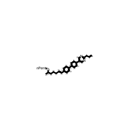 C=CCc1ncc(-c2ccc(-c3ccc(C=CCCCC(C)OCCCCC)cc3)cc2)cn1